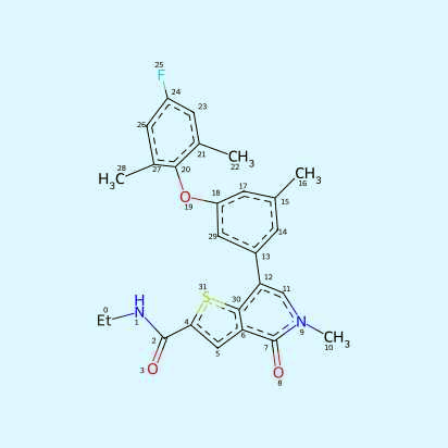 CCNC(=O)c1cc2c(=O)n(C)cc(-c3cc(C)cc(Oc4c(C)cc(F)cc4C)c3)c2s1